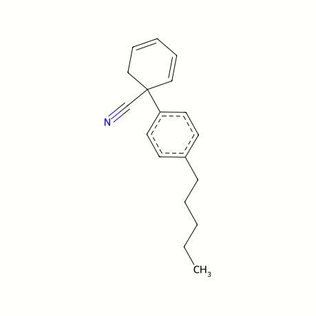 CCCCCc1ccc(C2(C#N)C=CC=CC2)cc1